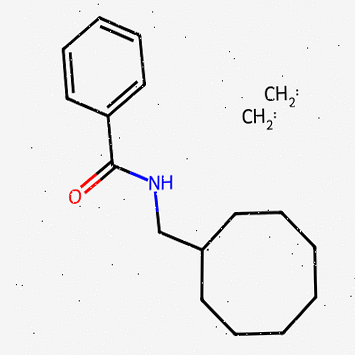 O=C(NC[C]1CCCCCCC1)c1ccccc1.[CH2].[CH2]